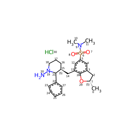 C[C@H]1Cc2cc(S(=O)(=O)N(C)C)cc(C[C@@H]3CCCN(N)C3c3ccccc3)c2O1.Cl